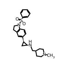 CN1CCC(CN[C@@H]2C[C@H]2c2ccc3c(c2)CCN3S(=O)(=O)c2ccccc2)CC1